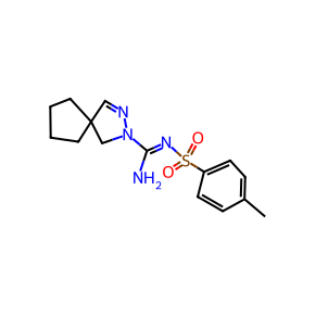 Cc1ccc(S(=O)(=O)/N=C(\N)N2CC3(C=N2)CCCC3)cc1